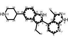 CCc1c(-c2ccnc3[nH]nc(C)c23)[nH]c2ccc(C3CCNCC3)cc12